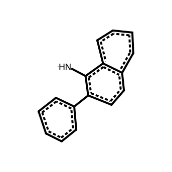 [NH]c1c(-c2ccccc2)ccc2ccccc12